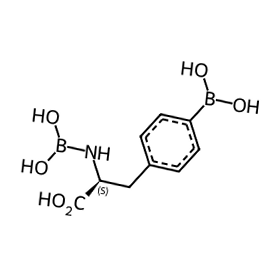 O=C(O)[C@H](Cc1ccc(B(O)O)cc1)NB(O)O